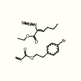 C=CC(=O)OCCc1ccc(Br)cc1.CCCC=C(N=[N+]=[N-])C(=O)OCC